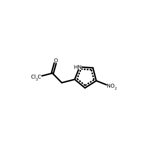 O=C(Cc1cc([N+](=O)[O-])c[nH]1)C(Cl)(Cl)Cl